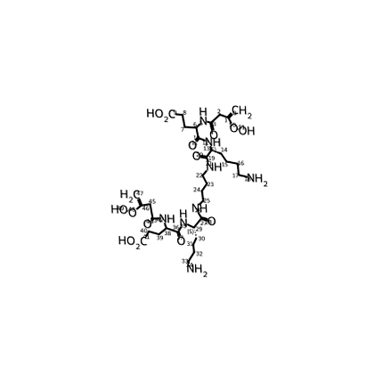 C=C(CC(=O)NC(CCC(=O)O)C(=O)N[C@@H](CCCCN)C(=O)NCCCCNC(=O)[C@H](CCCCN)NC(=O)C(CCC(=O)O)NC(=O)CC(=C)OO)OO